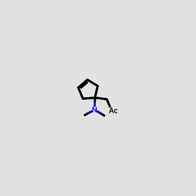 CC(=O)CC1(N(C)C)CC=CC1